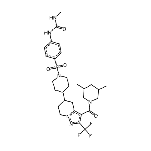 CNC(=O)Nc1ccc(S(=O)(=O)N2CCC(C3CCn4nc(C(F)(F)F)c(C(=O)N5CC(C)CC(C)C5)c4C3)CC2)cc1